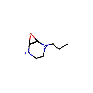 CCCN1CCNC2OC21